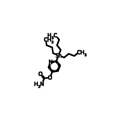 CCC[CH2][Sn]([CH2]CCC)([CH2]CCC)[c]1ccc(OC(N)=O)cn1